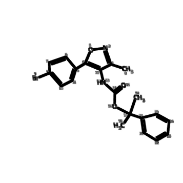 Cc1noc(-c2ccc(Br)cc2)c1NC(=O)OC(C)(C)c1ccccc1